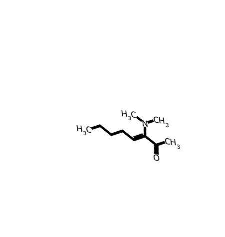 CCCCC=C(C(C)=O)N(C)C